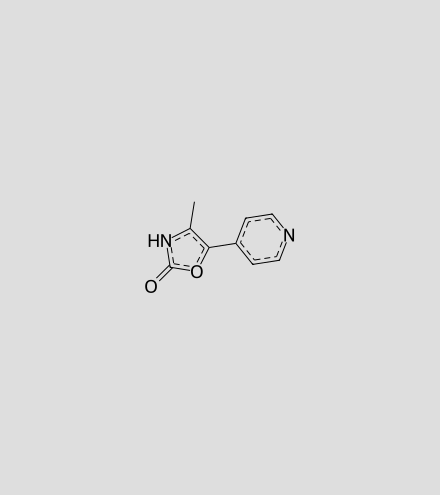 Cc1[nH]c(=O)oc1-c1ccncc1